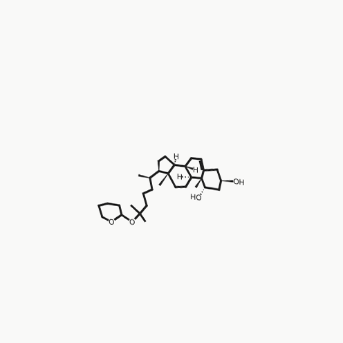 C[C@H](CCCC(C)(C)OC1CCCCO1)[C@H]1CC[C@H]2[C@@H]3CC=C4C[C@@H](O)C[C@H](O)[C@]4(C)[C@H]3CC[C@]12C